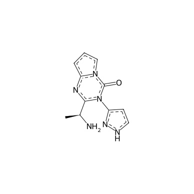 C[C@H](N)c1nc2cccn2c(=O)n1-c1cc[nH]n1